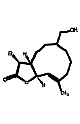 CC[C@@H]1C(=O)O[C@@H]2/C=C(\C)CCCC(CO)CC[C@@H]12